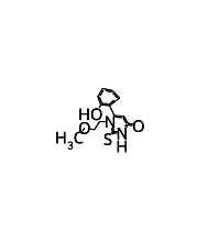 COCCn1c(-c2ccccc2O)cc(=O)[nH]c1=S